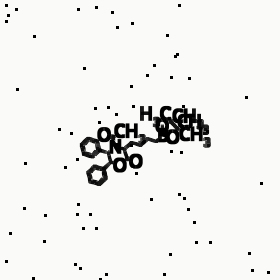 CC(=O)N1C(CCCCB2OC(C)(C)C(C)(C)O2)C(=O)O[C@@H](c2ccccc2)[C@H]1c1ccccc1